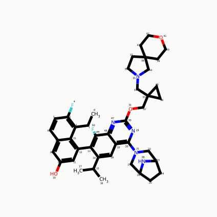 CCc1c(F)ccc2cc(O)cc(-c3c(C(C)C)cc4c(N5CC6CCC(C5)N6)nc(OCC5(CN6CCC7(CCOCC7)C6)CC5)nc4c3F)c12